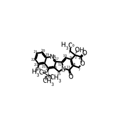 CC[C@@]1(O)C(=O)OCc2c1cc1n(c2=O)Cc2c-1nc1cccc(F)c1c2[Si](C)(C)C